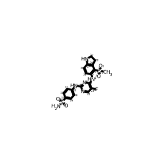 CS(=O)(=O)c1c(Nc2nc(Nc3ccc(S(N)(=O)=O)cc3)ncc2F)ccc2c1CCN2